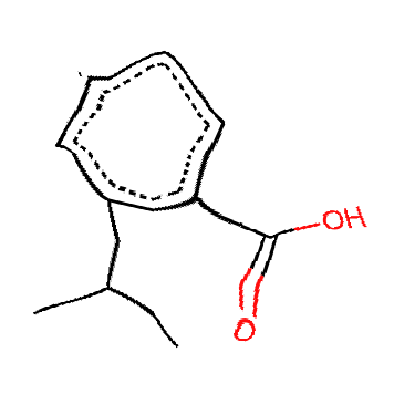 CC(C)c1c[c]ccc1C(=O)O